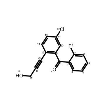 O=C(c1ccccc1F)c1cc(Cl)ccc1C#CCO